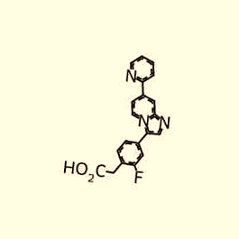 O=C(O)Cc1ccc(-c2cnc3cc(-c4ccccn4)ccn23)cc1F